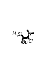 CCC(C)C([SiH3])=C(Cl)N(C)C